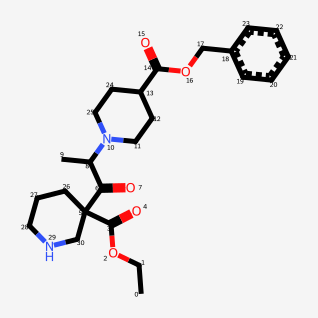 CCOC(=O)C1(C(=O)C(C)N2CCC(C(=O)OCc3ccccc3)CC2)CCCNC1